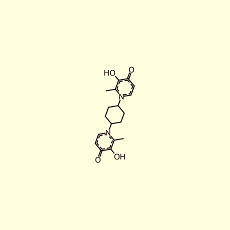 Cc1c(O)c(=O)ccn1C1CCC(n2ccc(=O)c(O)c2C)CC1